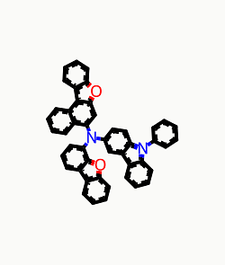 c1ccc(-n2c3ccccc3c3cc(N(c4cc5oc6ccccc6c5c5ccccc45)c4cccc5c4oc4ccccc45)ccc32)cc1